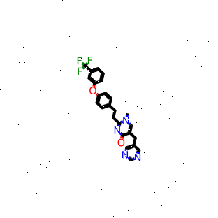 Cn1cc(Cc2cncnc2)c(=O)nc1CCc1ccc(Oc2cccc(C(F)(F)F)c2)cc1